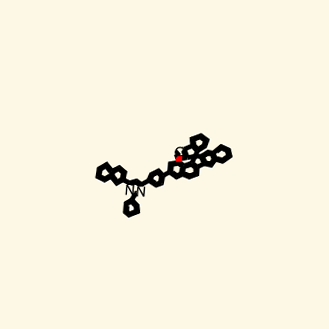 c1ccc(-c2nc(-c3ccc(-c4ccc5c6c(ccc5c4)-c4cc5ccccc5cc4C64c5ccccc5-c5ccccc54)cc3)cc(-c3ccc4ccccc4c3)n2)cc1